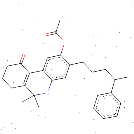 CC(=O)Oc1cc2c(cc1CCCC(C)c1ccccc1)NC(C)(C)C1=C2C(=O)CCC1